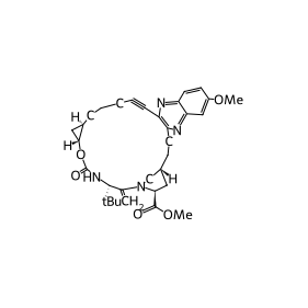 C=C1[C@H](C(C)(C)C)NC(=O)O[C@@H]2C[C@H]2CCCC#Cc2nc3ccc(OC)cc3nc2CC[C@@H]2C[C@@H](C(=O)OC)N1C2